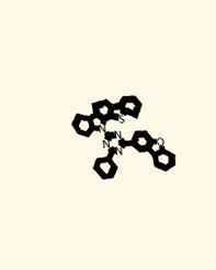 C1=CCC(c2nc(-c3ccc4c(c3)C3C=CC=CC3O4)nc(N3c4c(ccc5c4sc4ccccc45)C4C=CCCC43)n2)C=C1